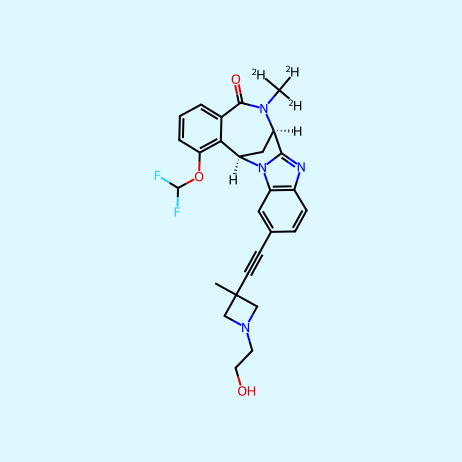 [2H]C([2H])([2H])N1C(=O)c2cccc(OC(F)F)c2[C@H]2C[C@@H]1c1nc3ccc(C#CC4(C)CN(CCO)C4)cc3n12